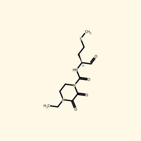 CCN1CCN(C(=O)N[C@H]([C]=O)CCSC)C(=O)C1=O